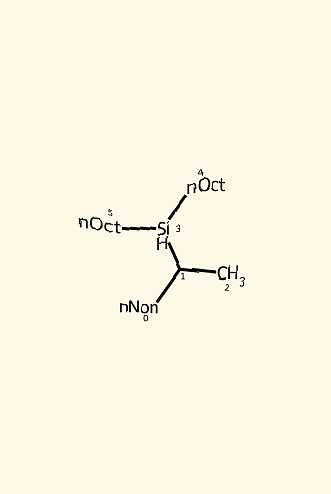 CCCCCCCCCC(C)[SiH](CCCCCCCC)CCCCCCCC